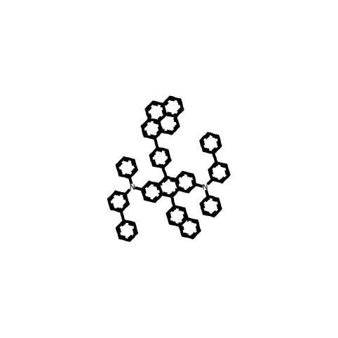 c1ccc(-c2cccc(N(c3ccccc3)c3ccc4c(-c5ccc6ccccc6c5)c5cc(N(c6ccccc6)c6cccc(-c7ccccc7)c6)ccc5c(-c5ccc(-c6ccc7ccc8cccc9ccc6c7c89)cc5)c4c3)c2)cc1